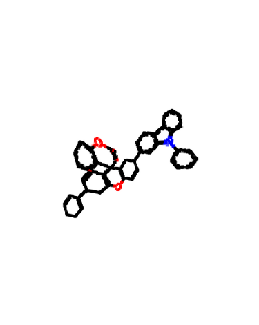 C1=CC(C2C=CC3=C(C2)OC2=C(CC(c4ccc5c6ccccc6n(-c6ccccc6)c5c4)C=C2)C32c3ccccc3Oc3ccccc32)=CCC1